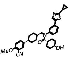 COc1ccc([C@H]2CC[C@H](CN(c3cccc(-c4cnc(C5CC5)s4)c3)C(=O)[C@H]3CC[C@H](O)CC3)CC2)cc1C#N